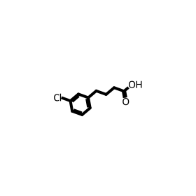 O=C(O)CCCc1cccc(Cl)c1